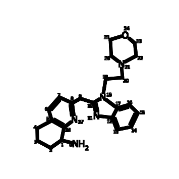 NC1CCCc2ccc(Cc3nc4ccccc4n3CCN3CCOCC3)nc21